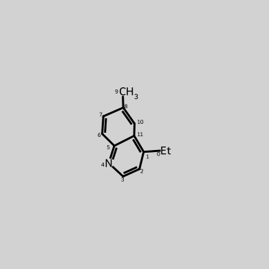 CCc1ccnc2ccc(C)cc12